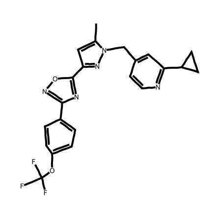 Cc1cc(-c2nc(-c3ccc(OC(F)(F)F)cc3)no2)nn1Cc1ccnc(C2CC2)c1